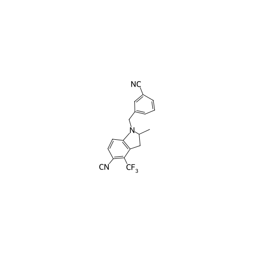 [C-]#[N+]c1ccc2c(c1C(F)(F)F)CC(C)N2Cc1cccc(C#N)c1